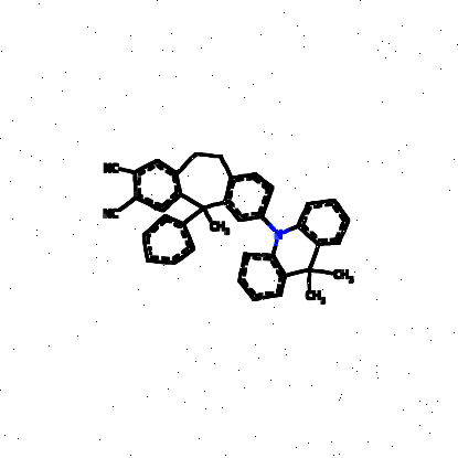 CC1(C)c2ccccc2N(c2ccc3c(c2)C(C)(c2ccccc2)c2cc(C#N)c(C#N)cc2CC3)c2ccccc21